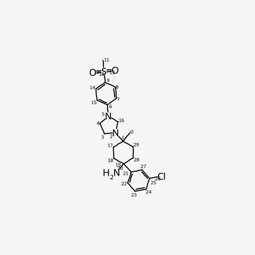 CC1(N2CCN(c3ccc(S(C)(=O)=O)cc3)C2)CCC(N)(c2cccc(Cl)c2)CC1